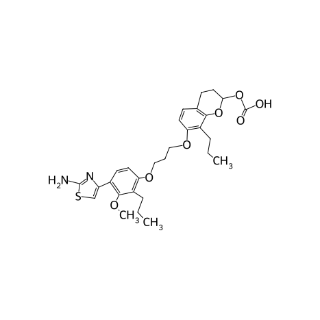 CCCc1c(OCCCOc2ccc(-c3csc(N)n3)c(OC)c2CCC)ccc2c1OC(OC(=O)O)CC2